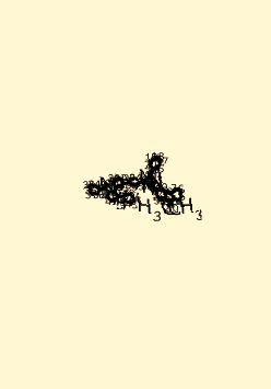 CC1(C)c2ccccc2-c2cc(-c3nc(-c4ccccc4)nc(-c4ccc(-c5ccc6nc(-c7ccccc7)c7ccc8sc9ccccc9c8c7c6c5)cc4)n3)ccc21